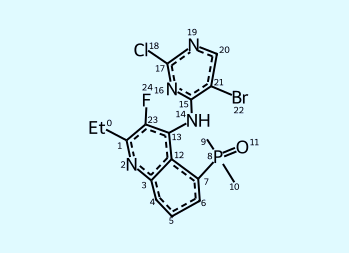 CCc1nc2cccc(P(C)(C)=O)c2c(Nc2nc(Cl)ncc2Br)c1F